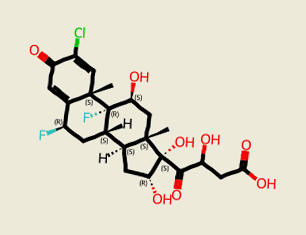 C[C@]12C=C(Cl)C(=O)C=C1[C@H](F)C[C@H]1[C@@H]3C[C@@H](O)[C@](O)(C(=O)C(O)CC(=O)O)[C@@]3(C)C[C@H](O)[C@@]12F